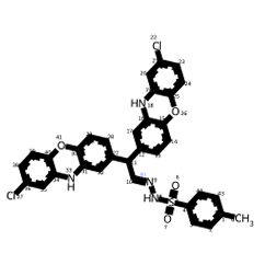 Cc1ccc(S(=O)(=O)N/N=C/C(c2ccc3c(c2)Nc2cc(Cl)ccc2O3)c2ccc3c(c2)Nc2cc(Cl)ccc2O3)cc1